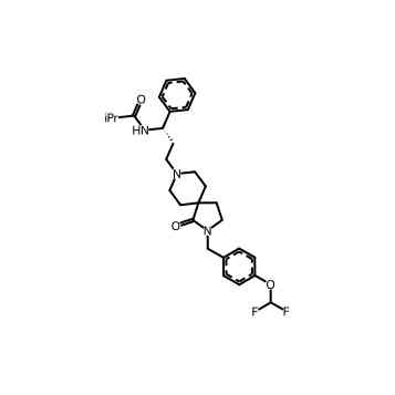 CC(C)C(=O)N[C@@H](CCN1CCC2(CC1)CCN(Cc1ccc(OC(F)F)cc1)C2=O)c1ccccc1